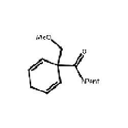 CCCCCC(=O)C1(COC)C=CCC=C1